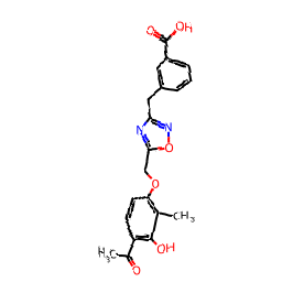 CC(=O)c1ccc(OCc2nc(Cc3cccc(C(=O)O)c3)no2)c(C)c1O